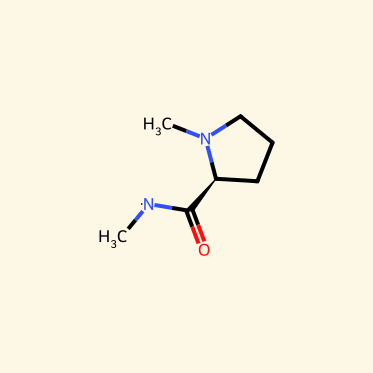 C[N]C(=O)[C@@H]1CCCN1C